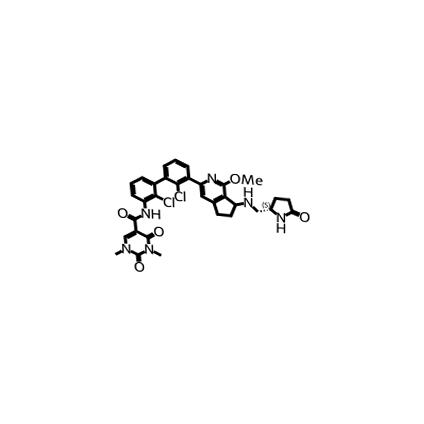 COc1nc(-c2cccc(-c3cccc(NC(=O)c4cn(C)c(=O)n(C)c4=O)c3Cl)c2Cl)cc2c1C(NC[C@@H]1CCC(=O)N1)CC2